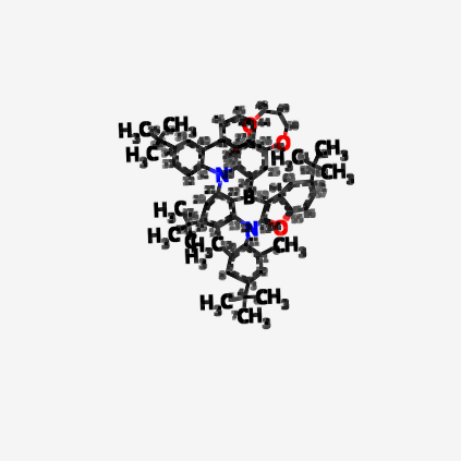 Cc1cc(C(C)(C)C)cc(C)c1N1c2cc(C(C)(C)C)cc3c2B(c2cc4c(cc2N3c2ccc(C(C)(C)C)cc2-c2ccccc2)OCCCO4)c2c1oc1ccc(C(C)(C)C)cc21